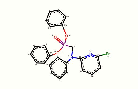 O=P(CN(c1ccccc1)c1cccc(Br)n1)(Oc1ccccc1)Oc1ccccc1